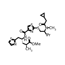 COC(=O)[C@@H](C)C[C@H](Cc1nccs1)NC(=O)c1csc(SCC(C(C)C)N(C)C(=O)CC2CC2)n1